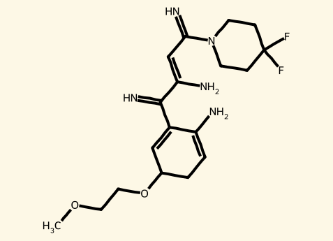 COCCOC1C=C(C(=N)/C(N)=C/C(=N)N2CCC(F)(F)CC2)C(N)=CC1